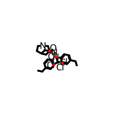 CCc1ccc(N(N=C2CC3CCN(C2)C3C(=O)OCC(Cl)(Cl)Cl)c2ccc(CC)cc2)cc1